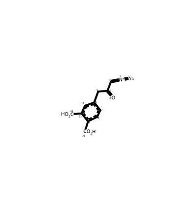 [N-]=[N+]=CC(=O)Cc1ccc(C(=O)O)c(C(=O)O)c1